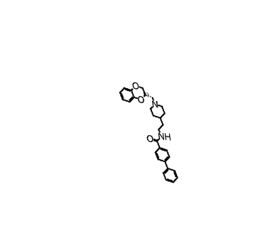 O=C(NCCC1CCN(C[C@H]2COc3ccccc3O2)CC1)c1ccc(-c2ccccc2)cc1